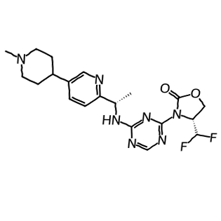 C[C@H](Nc1ncnc(N2C(=O)OC[C@@H]2C(F)F)n1)c1ccc(C2CCN(C)CC2)cn1